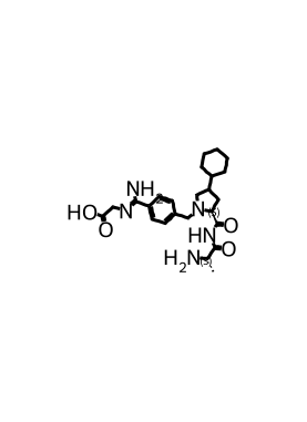 C[C@H](N)C(=O)NC(=O)[C@@H]1CC(C2CCCCC2)CN1Cc1ccc(C(N)=NCC(=O)O)cc1